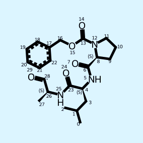 CC(C)C[C@H](NC(=O)[C@@H]1CCCN1C(=O)OCc1ccccc1)C(=O)N[C@@H](C)[C]=O